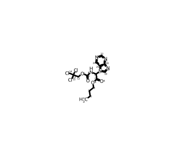 CCCCOC(=O)C(NC(=O)OCC(Cl)(Cl)Cl)n1cnc2ncncc21